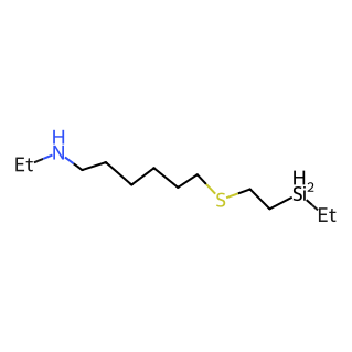 [CH2]CNCCCCCCSCC[SiH2]CC